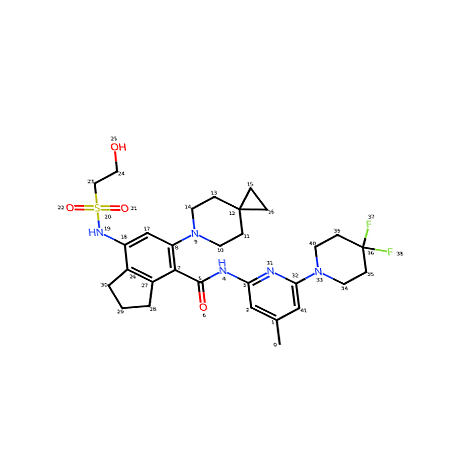 Cc1cc(NC(=O)c2c(N3CCC4(CC3)CC4)cc(NS(=O)(=O)CCO)c3c2CCC3)nc(N2CCC(F)(F)CC2)c1